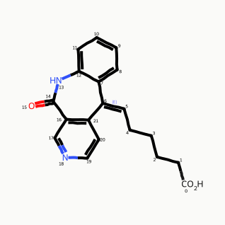 O=C(O)CCCC/C=C1/c2ccccc2NC(=O)c2cnccc21